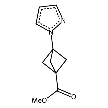 COC(=O)C12CC(n3cccn3)(C1)C2